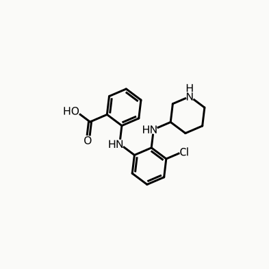 O=C(O)c1ccccc1Nc1cccc(Cl)c1NC1CCCNC1